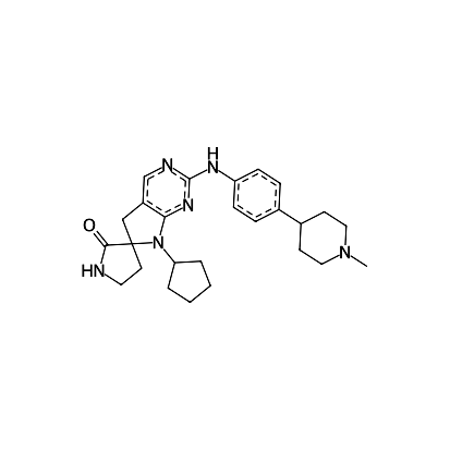 CN1CCC(c2ccc(Nc3ncc4c(n3)N(C3CCCC3)C3(CCNC3=O)C4)cc2)CC1